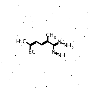 CC\C(C)=C/C=C(C)/C(N=N)=N/N